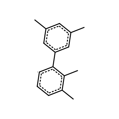 Cc1cc(C)cc(-c2[c]ccc(C)c2C)c1